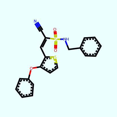 N#CC(=Cc1sccc1Oc1ccccc1)S(=O)(=O)NCc1ccccc1